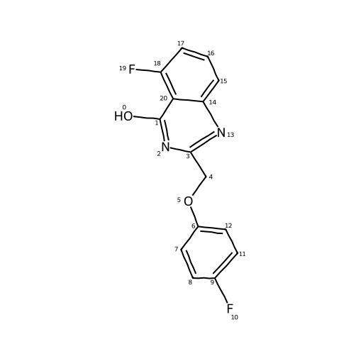 Oc1nc(COc2ccc(F)cc2)nc2cccc(F)c12